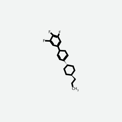 CCC[C@H]1CC[C@H](C2=CCC(c3cc(F)c(F)c(F)c3)C=C2)CC1